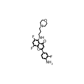 Nc1ccc(-c2cc(=O)c3c(NCCCN4CCOCC4)c(F)cc(F)c3o2)cc1F